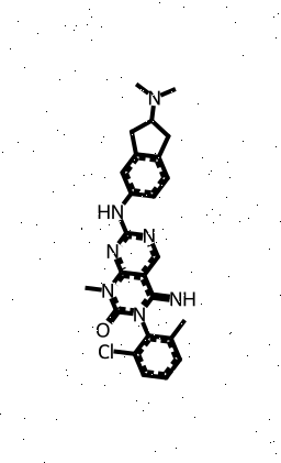 Cc1cccc(Cl)c1-n1c(=N)c2cnc(Nc3ccc4c(c3)CC(N(C)C)C4)nc2n(C)c1=O